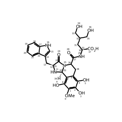 COc1c(O)c(O)c2c(c1O)[C@H]1N[C@@H](Cc3c[nH]c4ccccc34)C(=O)N1C(C(=O)N[C@@H](CC(CO)CO)C(=O)O)C2